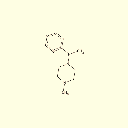 CN1CCN(N(C)c2ccn[c]n2)CC1